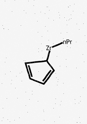 CC[CH2][Zr][CH]1C=CC=C1